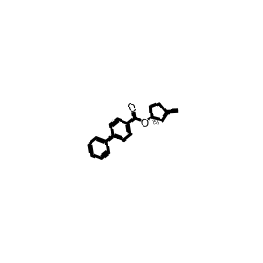 C=C1CC[C@H](OC(=O)c2ccc(-c3ccccc3)cc2)C1